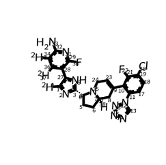 [2H]c1nc([C@H]2CC[C@H]3CC(c4c(-n5cnnn5)ccc(Cl)c4F)=CCN32)[nH]c1-c1c(F)nc(N)c([2H])c1[2H]